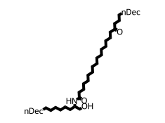 CCCCCCCCCCCCCCCCC(CO)NC(=O)CCCCCCCCCCCCCCCC(=O)CCCCCCCCCCCCC